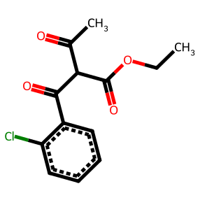 CCOC(=O)C(C(C)=O)C(=O)c1ccccc1Cl